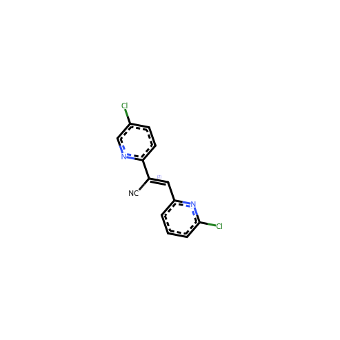 N#C/C(=C\c1cccc(Cl)n1)c1ccc(Cl)cn1